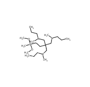 CCCN(C)CC(CC[Si](C)(OC)OC)(CN(C)CCC)CN(C)CCC